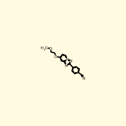 COCCOc1ccn2nc(-c3ccc(C#N)cc3)nc2c1